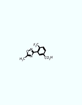 Cc1nc(-c2cc(C(=O)O)ccc2C(F)(F)F)no1